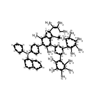 BC/C(B)=C(/B)c1oc2c(B)c(-c3ccc(N(c4ccccc4)c4cccc5ccccc45)cc3)c(B)c(-c3nc(-c4c(B)c(B)c(B)c(B)c4B)nc(-c4c(B)c(B)c(B)c(B)c4B)n3)c2c1C#C